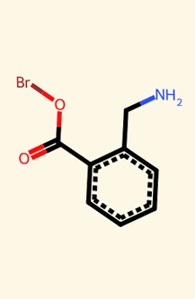 NCc1ccccc1C(=O)OBr